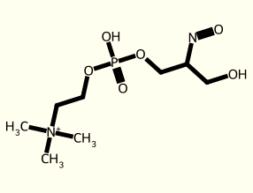 C[N+](C)(C)CCOP(=O)(O)OCC(CO)N=O